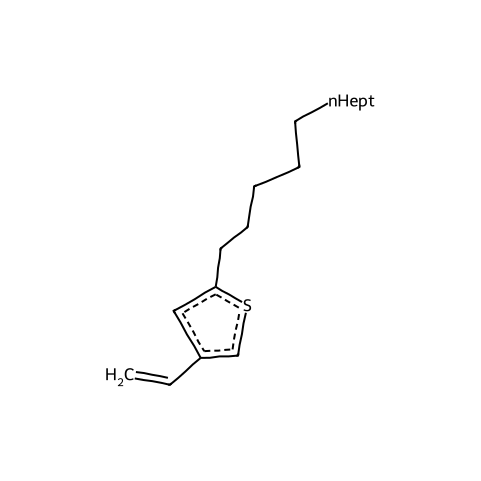 C=Cc1csc(CCCCCCCCCCCC)c1